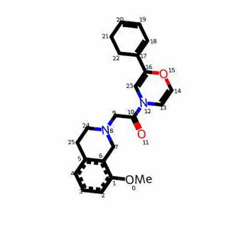 COc1cccc2c1CN(CC(=O)N1C=COC(C3=CC=CCC3)=C1)CC2